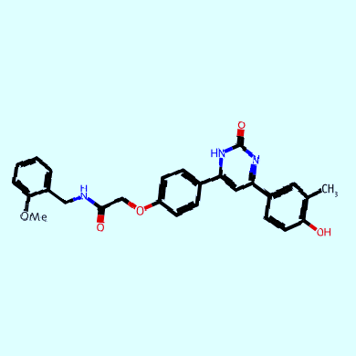 COc1ccccc1CNC(=O)COc1ccc(-c2cc(-c3ccc(O)c(C)c3)nc(=O)[nH]2)cc1